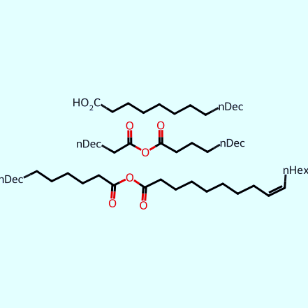 CCCCCC/C=C\CCCCCCCC(=O)OC(=O)CCCCCCCCCCCCCCC.CCCCCCCCCCCCCC(=O)OC(=O)CCCCCCCCCCC.CCCCCCCCCCCCCCCCCC(=O)O